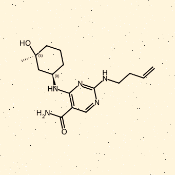 C=CCCNc1ncc(C(N)=O)c(N[C@@H]2CCC[C@](C)(O)C2)n1